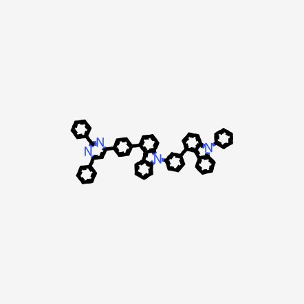 c1ccc(-c2cc(-c3ccc(-c4cccc5c4c4ccccc4n5-c4cccc(-c5cccc6c5c5ccccc5n6-c5ccccc5)c4)cc3)nc(-c3ccccc3)n2)cc1